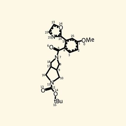 COc1ccc(C(=O)N2CC3CN(C(=O)OC(C)(C)C)CC3C2)c(-c2ncco2)c1